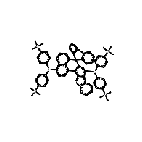 C[Si](C)(C)c1ccc(N(c2ccc([Si](C)(C)C)cc2)c2ccc3c4c(cccc24)C2(c4ccccc4-c4ccccc42)c2cc(N(c4ccc([Si](C)(C)C)cc4)c4ccc([Si](C)(C)C)cc4)c4c(oc5ccccc54)c2-3)cc1